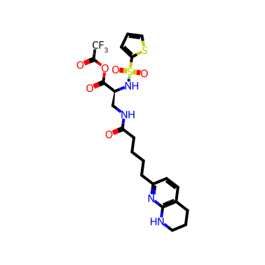 O=C(CCCCc1ccc2c(n1)NCCC2)NC[C@H](NS(=O)(=O)c1cccs1)C(=O)OC(=O)C(F)(F)F